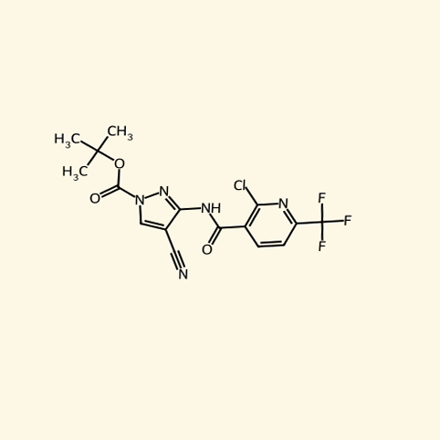 CC(C)(C)OC(=O)n1cc(C#N)c(NC(=O)c2ccc(C(F)(F)F)nc2Cl)n1